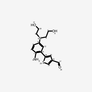 Nc1ccc(N(CCO)CCO)cc1-c1cc(C=O)cs1